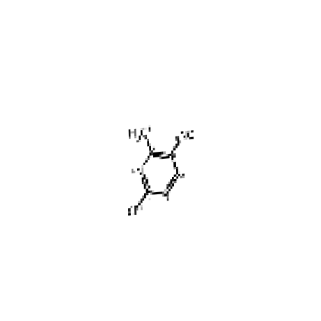 [C-]#[N+]c1ccc(Cl)nc1C